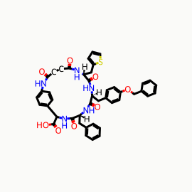 O=C1CCC(=O)N[C@H](Cc2cccs2)C(=O)N[C@@H](Cc2ccc(OCc3ccccc3)cc2)C(=O)N[C@H](Cc2ccccc2)C(=O)NC(C(=O)O)c2ccc(cc2)N1